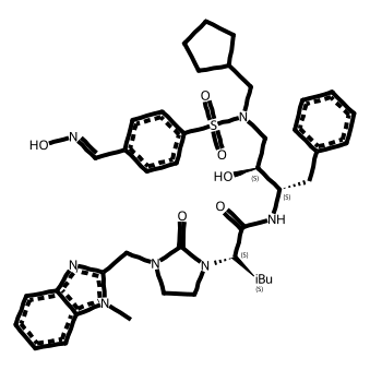 CC[C@H](C)[C@@H](C(=O)N[C@@H](Cc1ccccc1)[C@@H](O)CN(CC1CCCC1)S(=O)(=O)c1ccc(C=NO)cc1)N1CCN(Cc2nc3ccccc3n2C)C1=O